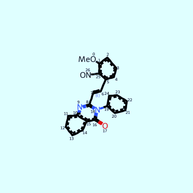 COc1cccc(/C=C/c2nc3ccccc3c(=O)n2-c2ccccc2)c1N=O